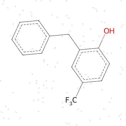 Oc1ccc(C(F)(F)F)cc1Cc1ccccc1